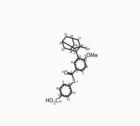 COc1ccc(C(=O)Sc2ccc(C(=O)O)cc2)cc1C1C2CC3CC(C2)CC1(I)C3